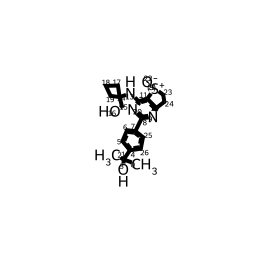 CC(C)(O)c1ccc(-c2nc3c(c(NC4(CO)CCC4)n2)[S@+]([O-])CC3)cc1